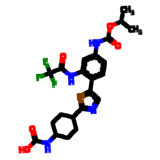 CC(C)OC(=O)Nc1ccc(-c2cnc(C3CCC(NC(=O)O)CC3)s2)c(NC(=O)C(F)(F)F)c1